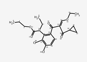 CCCOC(=O)N(CC)c1c(C(=O)C(=COCC)C(=O)C2CC2)ccc(Cl)c1Cl